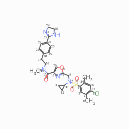 Cc1cc(S(=O)(=O)N(Cc2nc(C(=O)N(C)CCc3ccc(C4=NCCN4)cc3)co2)C2CC2)c(C)cc1Cl